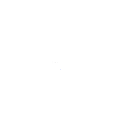 O=C1C(=Cc2ccccc2[N+](=O)[O-])Nc2ccccc21